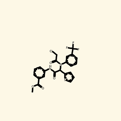 COC(=O)c1cccc(NC(=O)C(c2cccs2)N(C(=O)CCl)c2cccc(C(F)(F)F)c2)c1